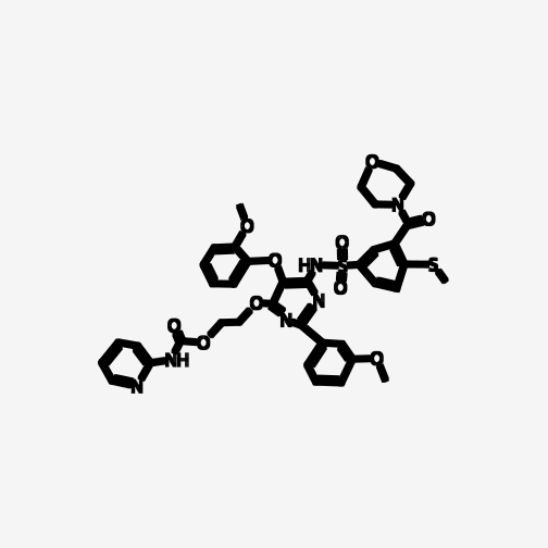 COc1cccc(-c2nc(NS(=O)(=O)c3ccc(SC)c(C(=O)N4CCOCC4)c3)c(Oc3ccccc3OC)c(OCCOC(=O)Nc3ccccn3)n2)c1